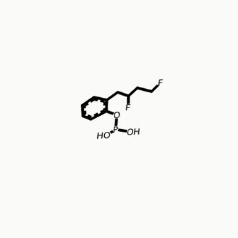 OP(O)Oc1ccccc1CC(F)CCF